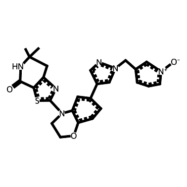 CC1(C)Cc2nc(N3CCOc4ccc(-c5cnn(Cc6ccc[n+]([O-])c6)c5)cc43)sc2C(=O)N1